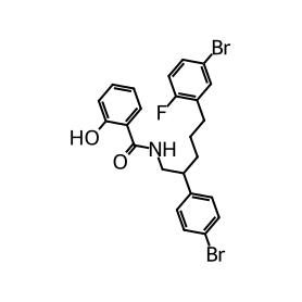 O=C(NCC(CCCc1cc(Br)ccc1F)c1ccc(Br)cc1)c1ccccc1O